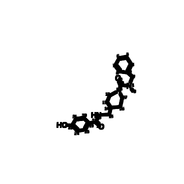 CN(Cc1ccccc1)C(=O)N1CCC(CNC(=O)c2ccc(O)cc2)CC1